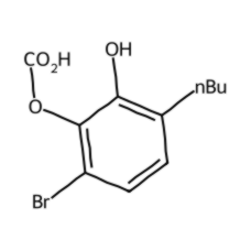 CCCCc1ccc(Br)c(OC(=O)O)c1O